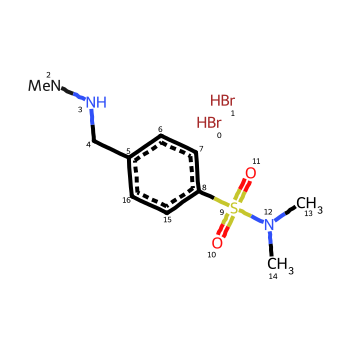 Br.Br.CNNCc1ccc(S(=O)(=O)N(C)C)cc1